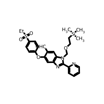 CCS(=O)(=O)c1ccc(Oc2cc3nc(-c4ccccn4)n(COCC[Si](C)(C)C)c3cc2C=O)cc1